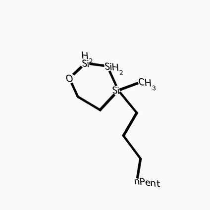 CCCCCCCC[Si]1(C)CCO[SiH2][SiH2]1